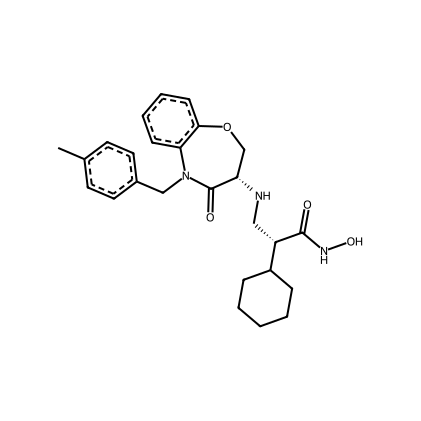 Cc1ccc(CN2C(=O)[C@@H](NC[C@H](C(=O)NO)C3CCCCC3)COc3ccccc32)cc1